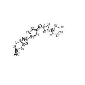 CC(=O)N1CCc2nc(-c3ccc(O[C@H]4C[C@H](N5CCCCC5)C4)cc3)sc2C1